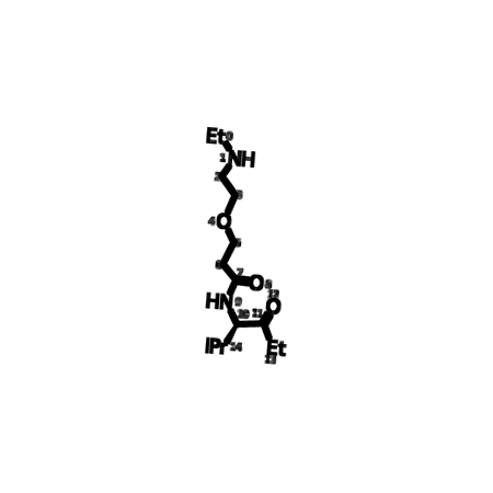 CCNCCOCCC(=O)N[C@@H](C(=O)CC)C(C)C